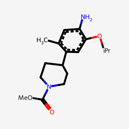 COC(=O)N1CCC(c2cc(OC(C)C)c(N)cc2C)CC1